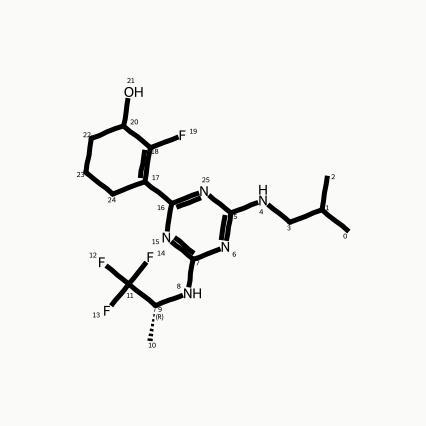 CC(C)CNc1nc(N[C@H](C)C(F)(F)F)nc(C2=C(F)C(O)CCC2)n1